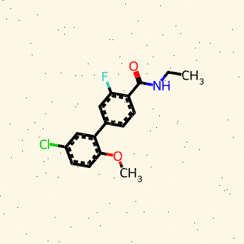 CCNC(=O)c1ccc(-c2cc(Cl)ccc2OC)cc1F